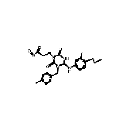 CCCc1ccc(NC2NC(=O)N(CCC(=O)N=O)C(=O)N2Cc2ccc(C)cc2)cc1C